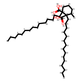 CCCCCCCCCCCCCCCC1(C(=O)O)CCCC(C)C1(CCCCCCCCCCCCCCC)C(=O)O